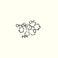 Cc1cc2c(cc1Cl)[C@]1(CCO2)CNC[C@H]1[C@]1(c2ccccc2)C[C@H](c2ccccc2)CCN1C=O